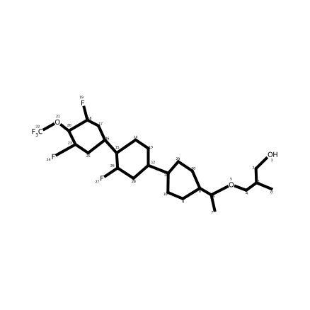 CC(CO)COC(C)C1CCC(C2CCC(C3CC(F)C(OC(F)(F)F)C(F)C3)C(F)C2)CC1